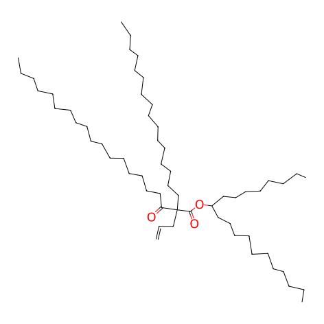 C=CCC(CCCCCCCCCCCCCCCC)(C(=O)CCCCCCCCCCCCCCCCC)C(=O)OC(CCCCCCCC)CCCCCCCCCCC